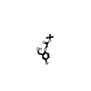 CC(C)(C)OC(=O)COc1ccc(Br)cc1CO